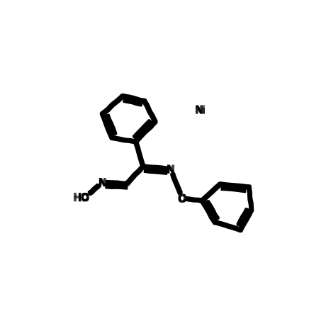 ON=CC(=NOc1ccccc1)c1ccccc1.[Ni]